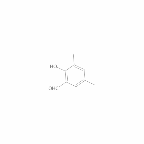 Cc1cc(I)cc(C=O)c1O